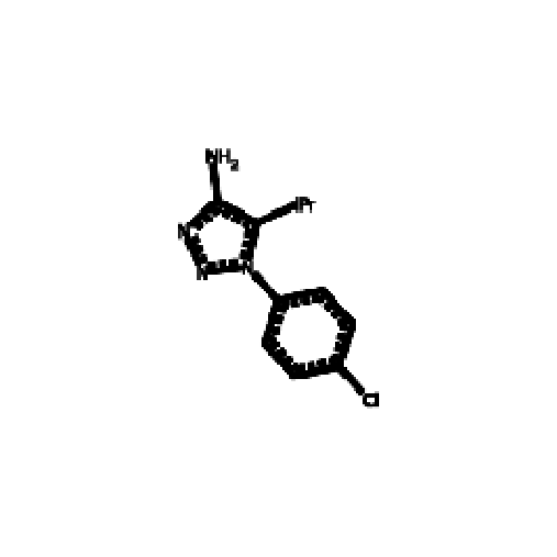 CC(C)c1c(N)nnn1-c1ccc(Cl)cc1